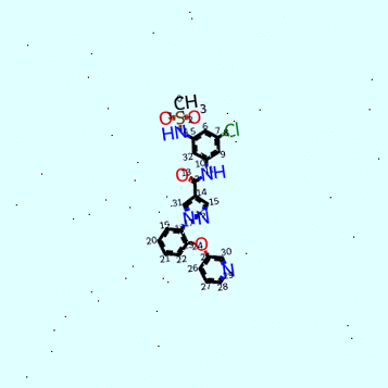 CS(=O)(=O)Nc1cc(Cl)cc(NC(=O)c2cnn(-c3ccccc3Oc3cccnc3)c2)c1